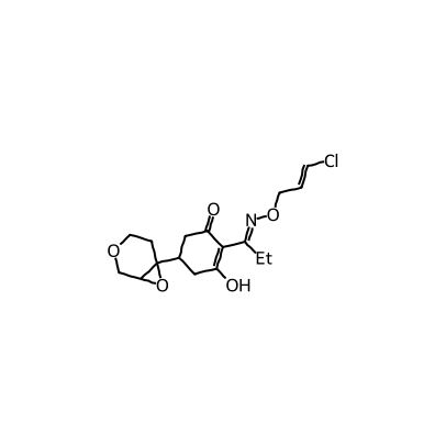 CCC(=NOCC=CCl)C1=C(O)CC(C23CCOCC2O3)CC1=O